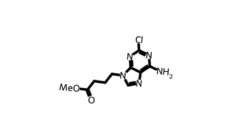 COC(=O)CCCn1cnc2c(N)nc(Cl)nc21